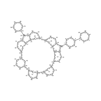 c1ccc(-c2ccc(-n3c4ccc5cc4c4cc(ccc43)c3ccc4c(c3)c3cc(ccc3n4-c3ccccc3)c3cccc(c3)c3cccc(c3)c3cccc5c3)cc2)cc1